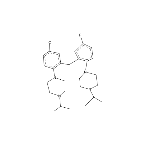 CC(C)N1CCN(c2ccc(F)cc2Cc2cc(Cl)ccc2N2CCN(C(C)C)CC2)CC1